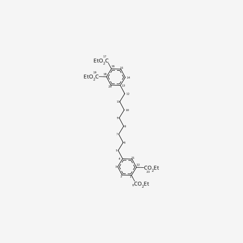 CCOC(=O)c1ccc(CCCCCCCCc2ccc(C(=O)OCC)c(C(=O)OCC)c2)cc1C(=O)OCC